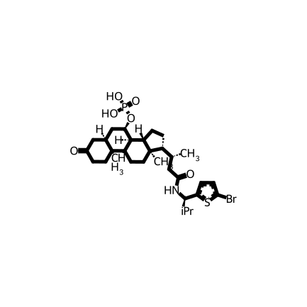 CC(C)[C@@H](NC(=O)C[C@@H](C)[C@H]1CC[C@H]2[C@@H]3[C@H](OP(=O)(O)O)C[C@@H]4CC(=O)CC[C@]4(C)[C@H]3CC[C@]12C)c1ccc(Br)s1